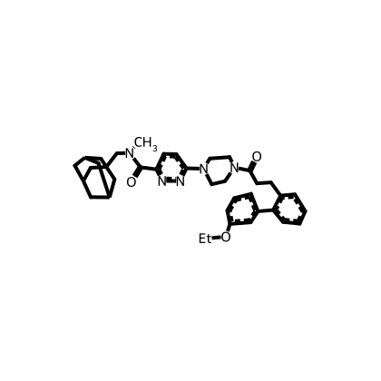 CCOc1cccc(-c2ccccc2CCC(=O)N2CCN(c3ccc(C(=O)N(C)CC45CC6CC(CC(C6)C4)C5)nn3)CC2)c1